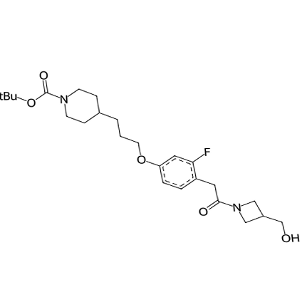 CC(C)(C)OC(=O)N1CCC(CCCOc2ccc(CC(=O)N3CC(CO)C3)c(F)c2)CC1